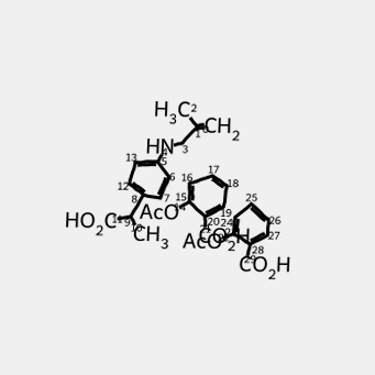 C=C(C)CNc1ccc(C(C)C(=O)O)cc1.CC(=O)Oc1ccccc1C(=O)O.CC(=O)Oc1ccccc1C(=O)O